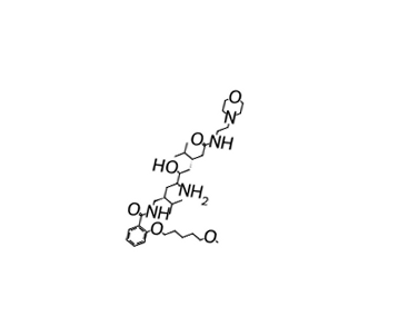 COCCCCCOc1ccccc1C(=O)NC[C@@H](C[C@H](N)[C@@H](O)C[C@@H](CC(=O)NCCN1CCOCC1)C(C)C)C(C)C